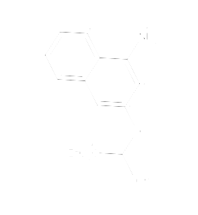 CCCCCC(Oc1cc(N)c2ccccc2c1)C(=O)OCC